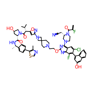 C=C(F)C(=O)N1CCN(c2nc(OCCN3CCC4(CC3)CN(c3cc([C@H](C(=O)N5C[C@H](O)C[C@H]5C(=O)N[C@@H](C)c5ccc(-c6scnc6C)cc5)C(C)C)on3)C4)nc3c(F)c(-c4cc(O)cc5ccccc45)c(Cl)cc23)C[C@@H]1CC#N